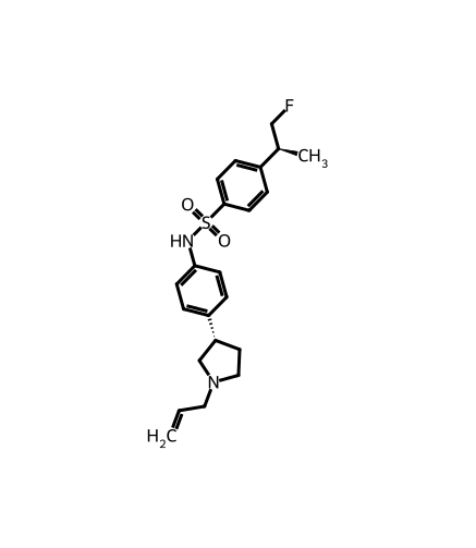 C=CCN1CC[C@@H](c2ccc(NS(=O)(=O)c3ccc([C@H](C)CF)cc3)cc2)C1